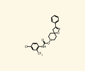 O=C(Nc1ccc(Cl)cc1C(F)(F)F)ON1CCC2(CC1)CC(c1ccccc1)=NO2